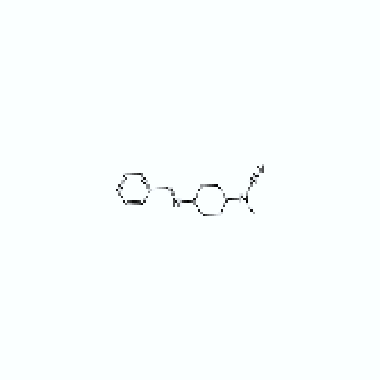 CN(C#N)C1CCC(/N=C/c2ccccc2)CC1